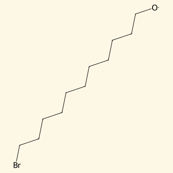 [O]CCCCCCCCCCCBr